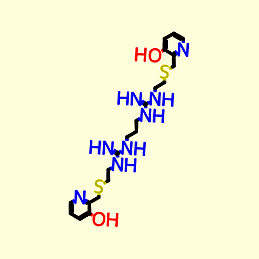 N=C(NCCCNC(=N)NCCSCc1ncccc1O)NCCSCc1ncccc1O